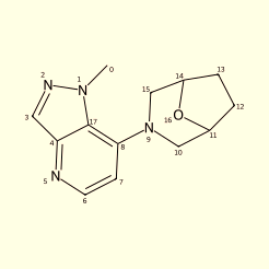 Cn1ncc2nccc(N3CC4CCC(C3)O4)c21